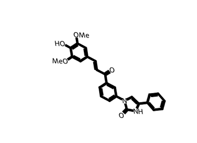 COc1cc(/C=C/C(=O)c2cccc(-n3cc(-c4ccccc4)[nH]c3=O)c2)cc(OC)c1O